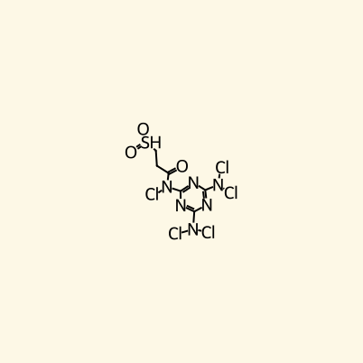 O=C(CC[SH](=O)=O)N(Cl)c1nc(N(Cl)Cl)nc(N(Cl)Cl)n1